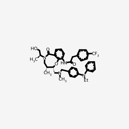 CCN(c1ccccc1)c1ccc(CN(C)C[C@H]2Oc3c(NC(=O)Cc4ccc(C(F)(F)F)cc4)cccc3C(=O)N([C@@H](C)CO)C[C@H]2C)cc1